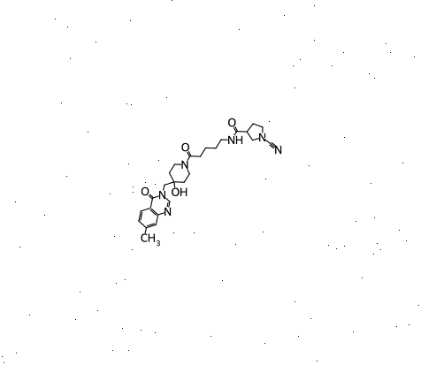 Cc1ccc2c(=O)n(CC3(O)CCN(C(=O)CCCCNC(=O)C4CCN(C#N)C4)CC3)cnc2c1